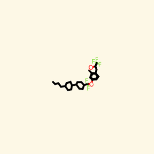 CCCCC1CCC(C2CCC(C(F)(F)Oc3ccc4c(c3)COC(C(F)(F)F)C4)CC2)CC1